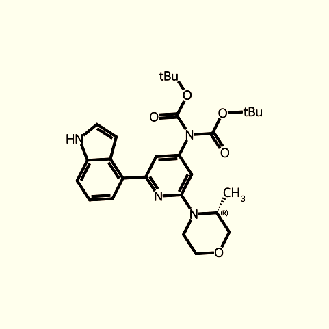 C[C@@H]1COCCN1c1cc(N(C(=O)OC(C)(C)C)C(=O)OC(C)(C)C)cc(-c2cccc3[nH]ccc23)n1